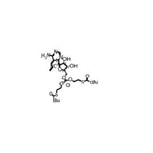 C=C/C=C1/C(N)=NC=NN1[C@]1(C#N)O[C@H](COP(=O)(OCCSC(=O)C(C)(C)C)OCCSC(=O)C(C)(C)C)[C@@H](O)[C@H]1O